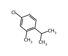 Cc1cc(Cl)[c]cc1C(C)C